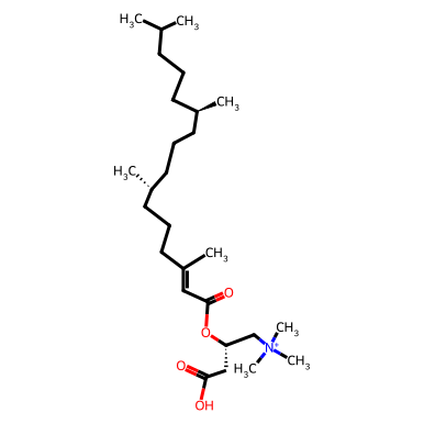 C/C(=C\C(=O)O[C@@H](CC(=O)O)C[N+](C)(C)C)CCC[C@H](C)CCC[C@H](C)CCCC(C)C